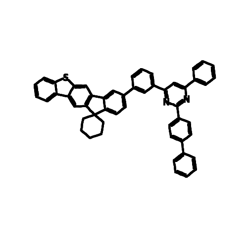 c1ccc(-c2ccc(-c3nc(-c4ccccc4)cc(-c4cccc(-c5ccc6c(c5)-c5cc7sc8ccccc8c7cc5C65CCCCC5)c4)n3)cc2)cc1